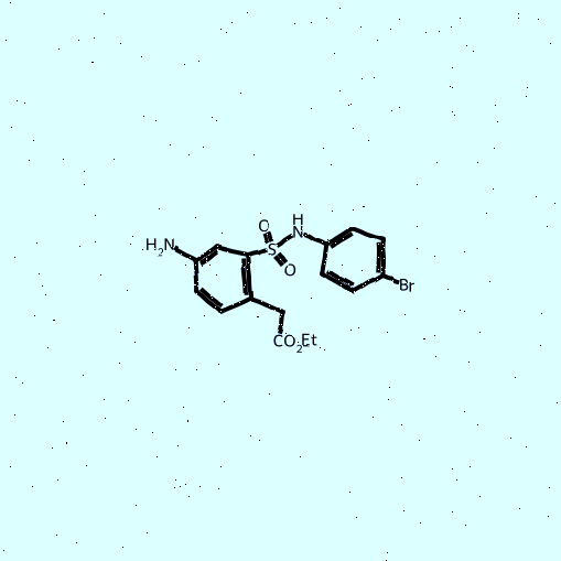 CCOC(=O)Cc1ccc(N)cc1S(=O)(=O)Nc1ccc(Br)cc1